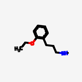 CCOc1ccccc1CCC[NH]